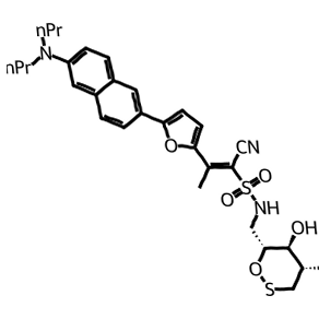 CCCN(CCC)c1ccc2cc(-c3ccc(/C(C)=C(\C#N)S(=O)(=O)NC[C@H]4OSC[C@@H](O)[C@@H]4O)o3)ccc2c1